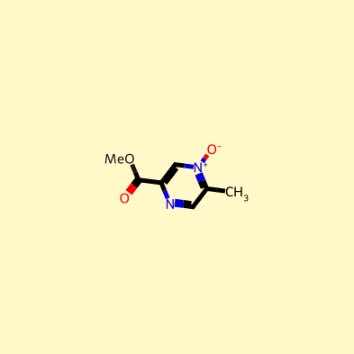 COC(=O)c1c[n+]([O-])c(C)cn1